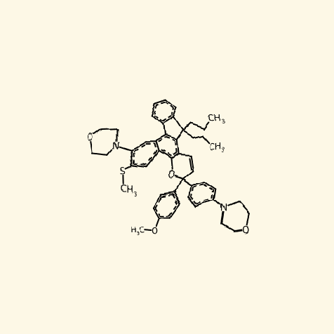 CCCC1(CCC)c2ccccc2-c2c1c1c(c3cc(SC)c(N4CCOCC4)cc23)OC(c2ccc(OC)cc2)(c2ccc(N3CCOCC3)cc2)C=C1